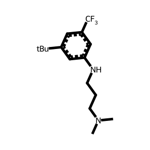 CN(C)CCCNc1cc(C(C)(C)C)cc(C(F)(F)F)c1